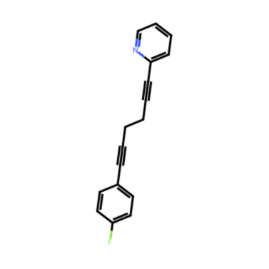 Fc1ccc(C#CCCC#Cc2ccccn2)cc1